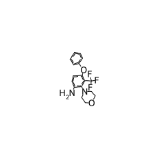 Nc1ccc(Oc2ccccc2)c(C(F)(F)F)c1N1CCOCC1